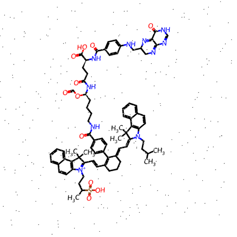 CC(C)CCN1/C(=C/C=C2\CCCC(/C=C/C3=[N+](CCC(C)S(=O)(=O)O)c4ccc5ccccc5c4C3(C)C)=C2c2ccc(C(=O)NCCCC[C@H](NC(=O)CC[C@H](NC(=O)c3ccc(NCC4CN=c5nc[nH]c(=O)c5=N4)cc3)C(=O)O)OC=O)cc2)C(C)(C)c2c1ccc1ccccc21